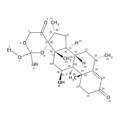 CCCC1(OCC)OCC(=O)[C@@]2(O1)[C@H](C)C[C@H]1[C@@H]3C[C@H](C)C4=CC(=O)CC[C@]4(C)[C@@]3(F)[C@@H](O)C[C@@]12C